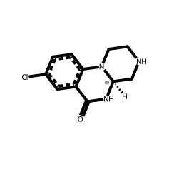 O=C1N[C@@H]2CNCCN2c2ccc(Cl)cc21